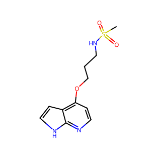 CS(=O)(=O)NCCCOc1ccnc2[nH]ccc12